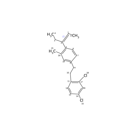 C/C=C(/CC)c1ccc(CCc2ccc(Cl)cc2Cl)cc1C